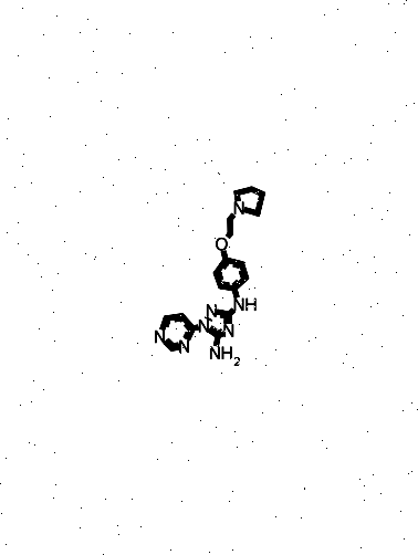 Nc1nc(Nc2ccc(OCCN3CCCC3)cc2)nn1-c1ccncn1